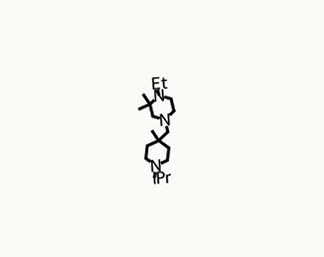 CCN1CCN(CC2(C)CCN(C(C)C)CC2)CC1(C)C